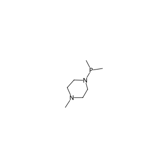 CN1CCN(P(C)C)CC1